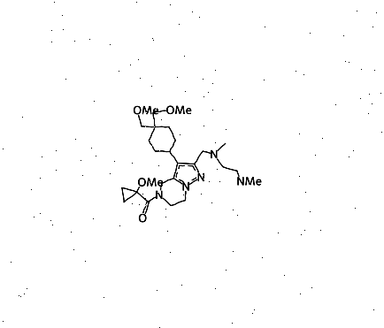 CNCCN(C)Cc1nn2c(c1C1CCC(COC)(COC)CC1)CN(C(=O)C1(OC)CC1)CC2